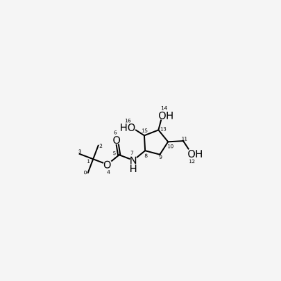 CC(C)(C)OC(=O)NC1CC(CO)C(O)C1O